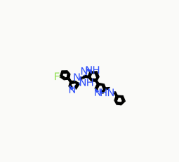 Fc1cccc(-c2cncc3[nH]c(-c4n[nH]c5ccc(-c6cncc(CNCc7ccccc7)c6)cc45)nc23)c1